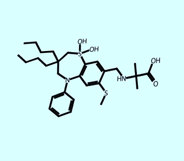 CCCCC1(CCCC)CN(c2ccccc2)c2cc(SC)c(CNC(C)(C)C(=O)O)cc2S(O)(O)C1